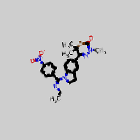 CC/N=C(/c1ccc([N+](=O)[O-])cc1)N1CCc2cc(C3=NN(C)C(=O)SC3(C)C)ccc21